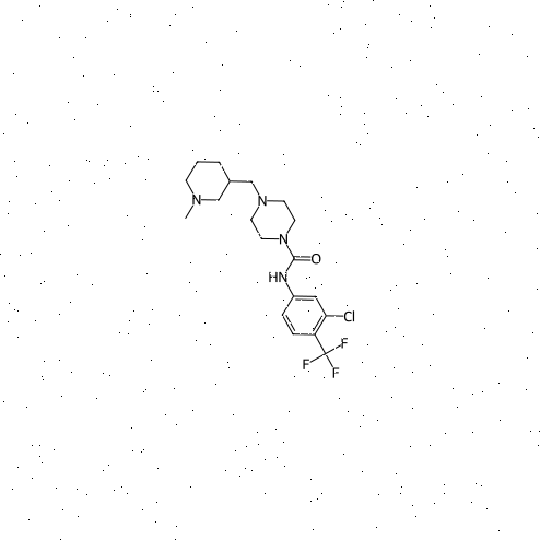 CN1CCCC(CN2CCN(C(=O)Nc3ccc(C(F)(F)F)c(Cl)c3)CC2)C1